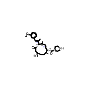 C/C(=C\c1cccc(N(C)C)c1)C1OC(=O)C[C@H](O)CC[C@H](C)[C@@H](OC(=O)N2CCNCC2)/C=C/[C@@H]1C